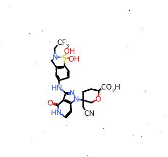 N#CCC1(n2nc(Nc3ccc4c(c3)CN(CC(F)(F)F)S4(O)O)c3c(=O)[nH]ccc32)CCC(C(=O)O)OC1